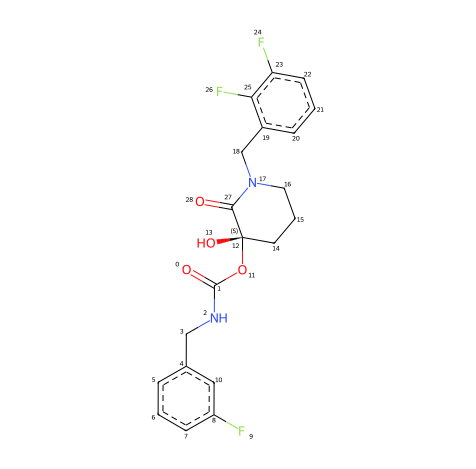 O=C(NCc1cccc(F)c1)O[C@@]1(O)CCCN(Cc2cccc(F)c2F)C1=O